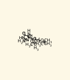 CC(C)(C)OCCCOC(OC(C)(C)C)N1CNc2c1nc(N)[nH]c2=O